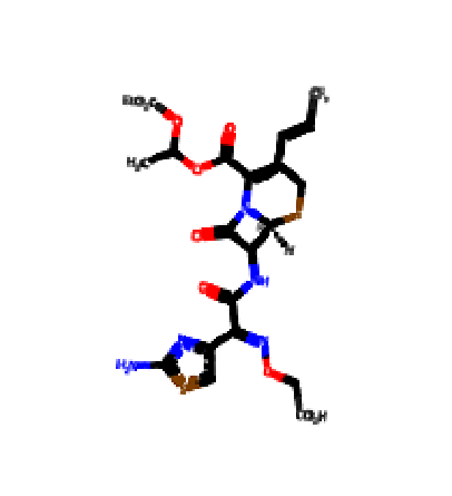 CCOC(=O)OC(C)OC(=O)C1=C(C=CC(F)(F)F)CS[C@H]2C(NC(=O)C(=NOCC(=O)O)c3csc(N)n3)C(=O)N12